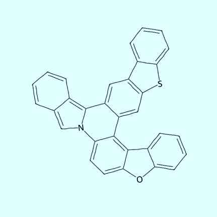 c1ccc2c(c1)cn1c3ccc4oc5ccccc5c4c3c3cc4sc5ccccc5c4cc3c21